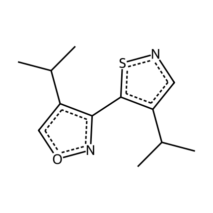 CC(C)c1conc1-c1sncc1C(C)C